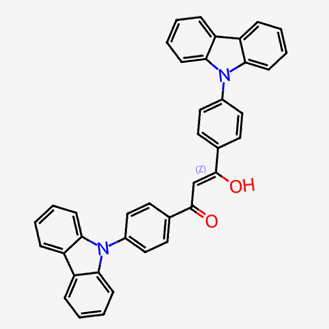 O=C(/C=C(\O)c1ccc(-n2c3ccccc3c3ccccc32)cc1)c1ccc(-n2c3ccccc3c3ccccc32)cc1